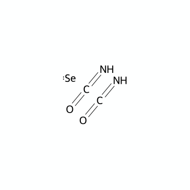 N=C=O.N=C=O.[Se]